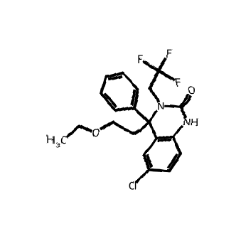 CCOCCC1(c2ccccc2)c2cc(Cl)ccc2NC(=O)N1CC(F)(F)F